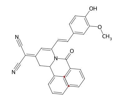 COc1cc(/C=C/C2=CC(=C(C#N)C#N)CC(c3ccccc3)N2C(=O)c2ccccc2)ccc1O